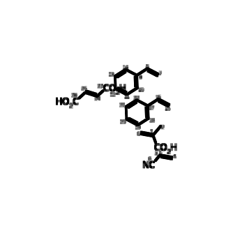 C=C(C)C(=O)O.C=CC#N.C=Cc1ccccc1.C=Cc1ccccc1.O=C(O)/C=C/C(=O)O